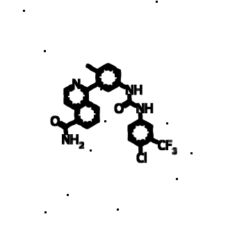 Cc1ccc(NC(=O)Nc2ccc(Cl)c(C(F)(F)F)c2)cc1-c1nccc2c(C(N)=O)cccc12